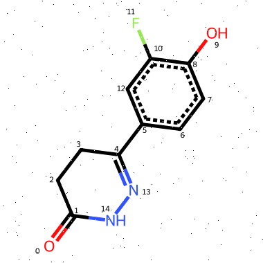 O=C1CCC(c2ccc(O)c(F)c2)=NN1